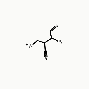 CCC(C#N)C(C)C=O